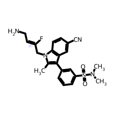 Cc1c(-c2cccc(S(=O)(=O)N(C)C)c2)c2cc(C#N)ccc2n1C/C(F)=C/CN